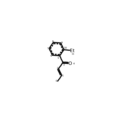 C/C=C/C(=O)c1ccccc1CC